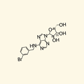 OC[C@H]1OC(n2cnc3c(NCc4cccc(Br)c4)ncnc32)[C@H](O)[C@@H]1O